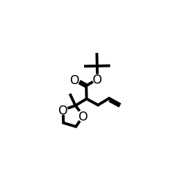 C=CCC(C(=O)OC(C)(C)C)C1(C)OCCO1